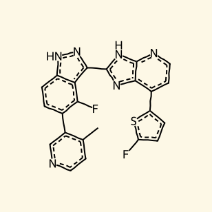 Cc1ccncc1-c1ccc2[nH]nc(-c3nc4c(-c5ccc(F)s5)ccnc4[nH]3)c2c1F